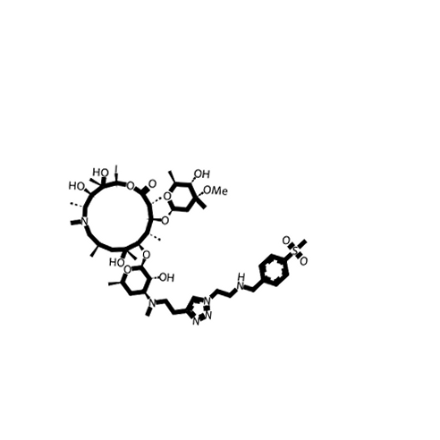 CO[C@]1(C)C[C@H](O[C@H]2[C@H](C)[C@@H](O[C@@H]3O[C@H](C)C[C@H](N(C)CCc4cn(CCNCc5ccc(S(C)(=O)=O)cc5)nn4)[C@H]3O)[C@](C)(O)C[C@@H](C)CN(C)[C@H](C)[C@@H](O)[C@](C)(O)[C@@H](I)OC(=O)[C@@H]2C)O[C@@H](C)[C@@H]1O